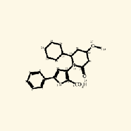 O=C(O)c1sc(-c2ccccc2)cc1N1C(=O)CC(OI)CC1C1CCCCC1